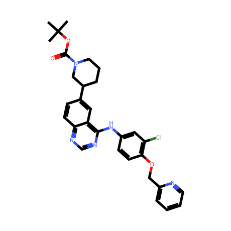 CC(C)(C)OC(=O)N1CCCC(c2ccc3ncnc(Nc4ccc(OCc5ccccn5)c(Cl)c4)c3c2)C1